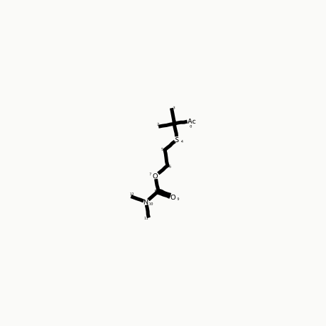 CC(=O)C(C)(C)SCCOC(=O)N(C)C